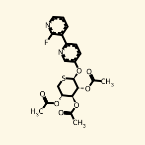 CC(=O)O[C@@H]1[C@@H](OC(C)=O)[C@H](OC(C)=O)CS[C@H]1Oc1ccc(-c2cccnc2F)nc1